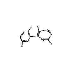 Cc1ccc(C)c(-c2nc(C)ncc2C)c1